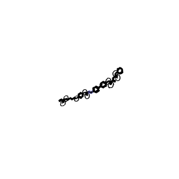 C=CC(=O)OCCCCOc1ccc(OC(=O)/C=C/c2ccc(-c3ccc(OC(=O)C(=C)CC(=O)OC4CCCCC4)cc3)cc2)cc1